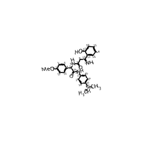 COc1ccc(C(NC(=O)CC(=N)c2ccccc2O)C(=O)Nc2ccc([SiH](C)C)cc2)cc1